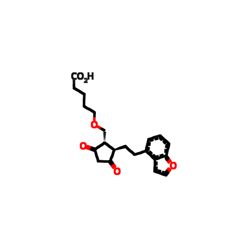 O=C(O)CCCCOC[C@H]1C(=O)CC(=O)[C@@H]1CCc1cccc2occc12